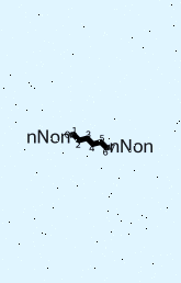 C[CH]CCCCCCCCCCCCCCCCCCCCCC